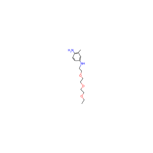 CCOCCOCCOCCNc1ccc(N)c(C)c1